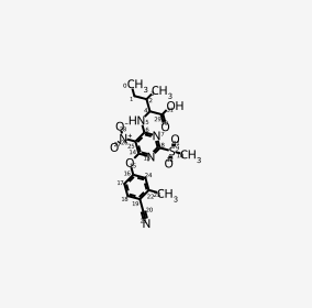 CCC(C)C(Nc1nc(S(C)(=O)=O)nc(Oc2ccc(C#N)c(C)c2)c1[N+](=O)[O-])C(=O)O